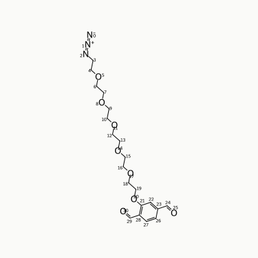 [N-]=[N+]=NCCOCCOCCOCCOCCOCCOc1cc(C=O)ccc1C=O